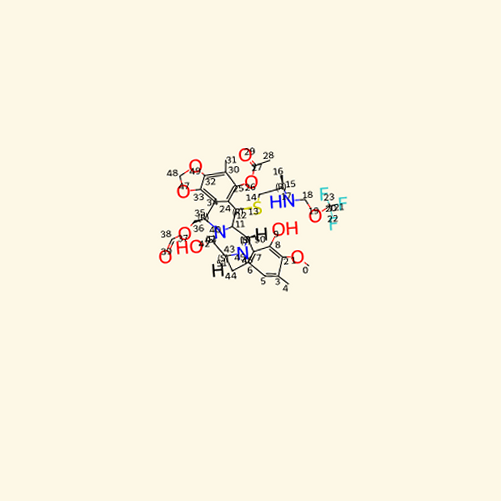 COc1c(C)cc2c(c1O)[C@H]1C3[C@H](SC[C@@H](C)NCOC(F)(F)F)c4c(OC(C)=O)c(C)c5c(c4[C@H](COC=O)N3[C@@H](O)[C@H](C2)N1C)OCO5